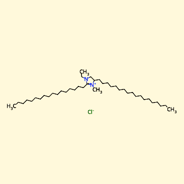 CCCCCCCCCCCCCCCCCCC1CN(CC)C(CCCCCCCCCCCCCCCCC)=[N+]1C.[Cl-]